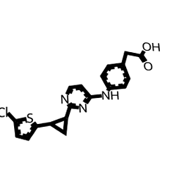 O=C(O)Cc1ccc(Nc2ccnc(C3CC3c3ccc(Cl)s3)n2)cc1